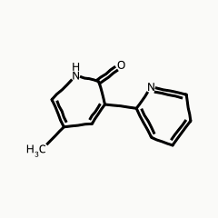 Cc1c[nH]c(=O)c(-c2ccccn2)c1